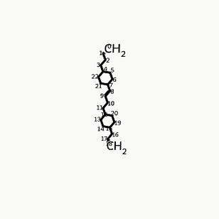 C=CCCC1CCC(C=CCCC2CCC(CC=C)CC2)CC1